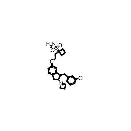 NS(=O)(=O)C1(CCOc2ccc3c(c2)C(Cc2cccc(Cl)c2)C(N2CCC2)C3)CCC1